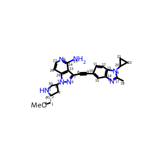 COC[C@H]1CC(n2nc(C#Cc3ccc4c(c3)nc(C)n4C3CC3)c3c(N)nccc32)CN1